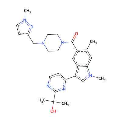 Cc1cc2c(cc1C(=O)N1CCN(Cc3ccn(C)n3)CC1)c(-c1ccnc(C(C)(C)O)n1)cn2C